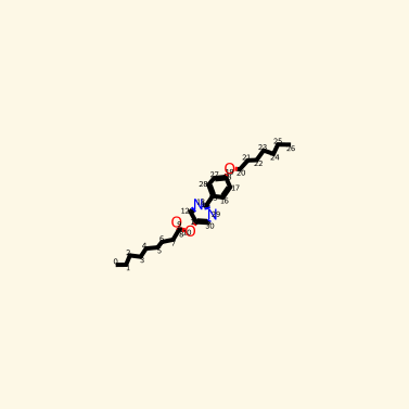 CCCCCCCCC(=O)Oc1cnc(-c2ccc(OCCCCCCC)cc2)nc1